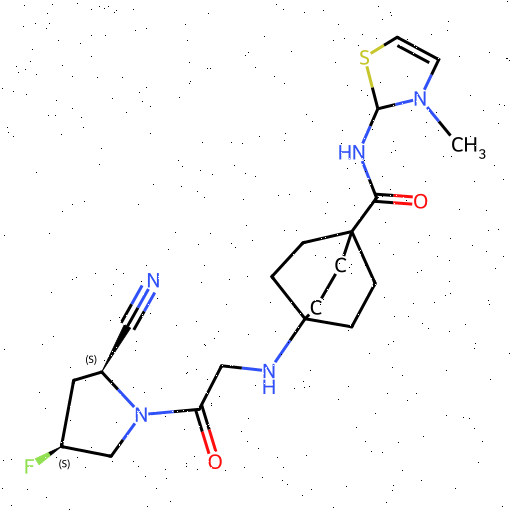 CN1C=CSC1NC(=O)C12CCC(NCC(=O)N3C[C@@H](F)C[C@H]3C#N)(CC1)CC2